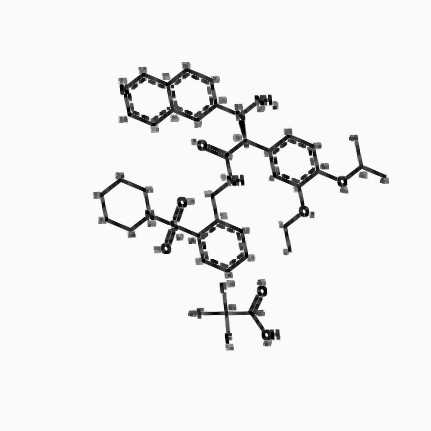 CCOc1cc([C@@H](C(=O)NCc2ccccc2S(=O)(=O)N2CCCCC2)N(N)c2ccc3cnccc3c2)ccc1OC(C)C.O=C(O)C(F)(F)F